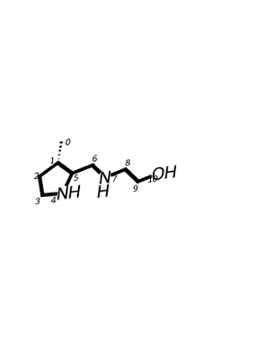 C[C@H]1CCNC1CNCCO